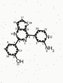 Nc1cc(-c2nc(-c3cccc(O)c3)nc3ccsc23)ccn1